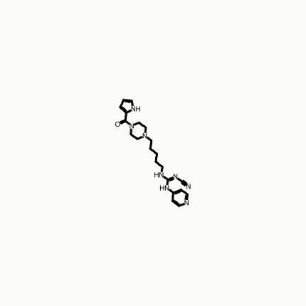 N#CN=C(NCCCCCN1CCN(C(=O)c2ccc[nH]2)CC1)Nc1ccncc1